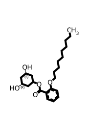 CCCCCCCCCCOc1ccccc1C(=O)OC1C[C@@H](O)C[C@@H](O)C1